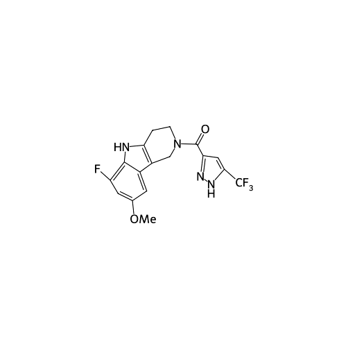 COc1cc(F)c2[nH]c3c(c2c1)CN(C(=O)c1cc(C(F)(F)F)[nH]n1)CC3